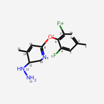 C=C(C)/C=C(F)\C(OC1=NCC(NN)C(C)=C1)=C(/C)F